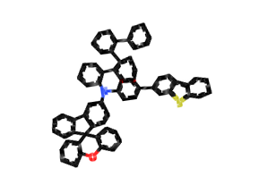 c1ccc(-c2ccccc2-c2ccccc2-c2ccccc2N(c2ccc(-c3ccc4c(c3)sc3ccccc34)cc2)c2ccc3c(c2)-c2ccccc2C32c3ccccc3Oc3ccccc32)cc1